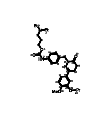 CCN(CC)CCCOC(=O)Nc1ccc(CN2N=C(c3ccc(OC)c(OC(C)C)c3)CCC2=O)cc1